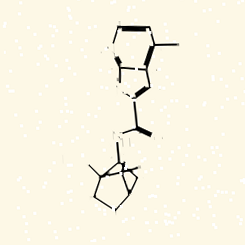 CC1(C)C2CCC1(C)C(NC(=O)c1cc3c(F)ccnc3[nH]1)C2